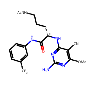 COc1nc(N)nc(N[C@@H](CCCNC(C)=O)C(=O)Nc2cccc(C(F)(F)F)c2)c1C#N